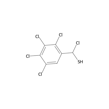 SC(Cl)c1cc(Cl)c(Cl)c(Cl)c1Cl